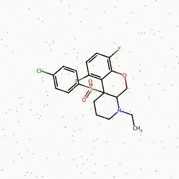 CCN1CCCC2(S(=O)(=O)c3ccc(Cl)cc3)c3c(F)ccc(F)c3OCC12